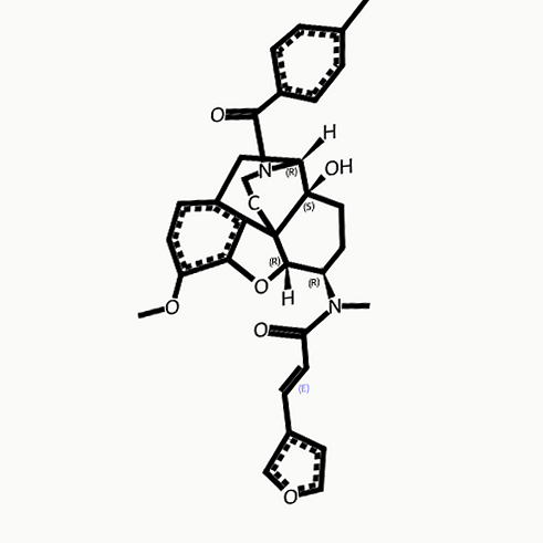 COc1ccc2c3c1O[C@H]1[C@H](N(C)C(=O)/C=C/c4ccoc4)CC[C@@]4(O)[C@@H](C2)N(C(=O)c2ccc(C)cc2)CCC314